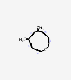 C=C1/C=C\C=C/CC/C=C\C=C/C(=C)/C=C\1